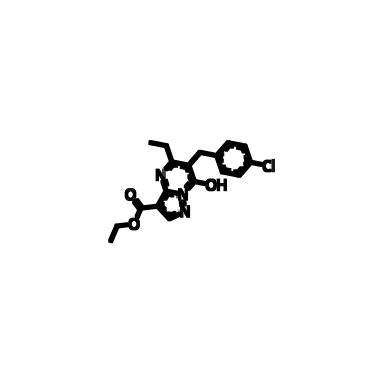 CCOC(=O)c1cnn2c(O)c(Cc3ccc(Cl)cc3)c(CC)nc12